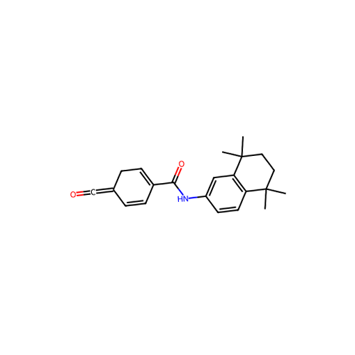 CC1(C)CCC(C)(C)c2cc(NC(=O)C3=CCC(=C=O)C=C3)ccc21